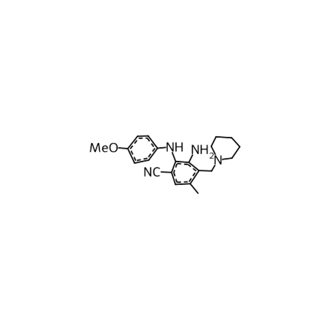 COc1ccc(Nc2c(C#N)cc(C)c(CN3CCCCC3)c2N)cc1